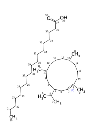 C/C1=C/CC(C(C)C)CCC(C)CCCC(C)CCC1.CCCCCCCCCCCCCCCCCC(=O)O